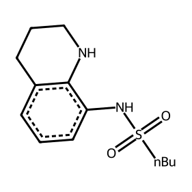 CCCCS(=O)(=O)Nc1cccc2c1NCCC2